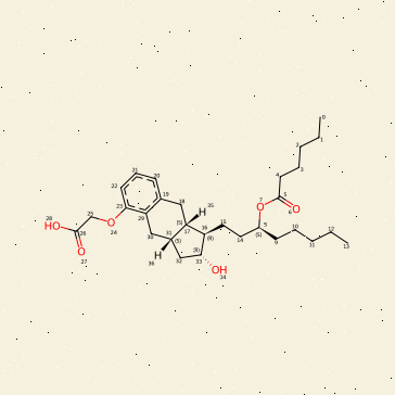 CCCCCC(=O)O[C@@H](CCCCC)CC[C@@H]1[C@H]2Cc3cccc(OCC(=O)O)c3C[C@H]2C[C@H]1O